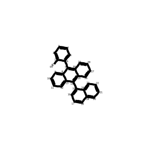 Fc1ccccc1-c1c2ccccc2c(-c2cccc3ccccc23)c2ccccc12